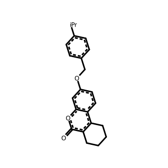 CC(C)c1ccc(COc2ccc3c4c(c(=O)oc3c2)CCCC4)cc1